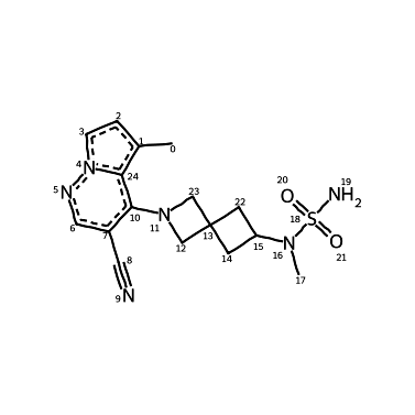 Cc1ccn2ncc(C#N)c(N3CC4(CC(N(C)S(N)(=O)=O)C4)C3)c12